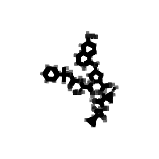 COc1ccc2c(O[C@@H]3C[C@@H](C(=O)N[C@]4(C(=O)NS(=O)(=O)C5CC5)C[C@H]4C)N(C(=O)[C@@H](NC(=O)OC(C)(C)c4ccccc4)C(C)(C)C)C3)nccc2c1